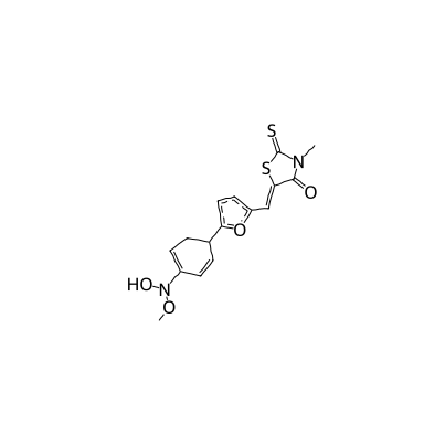 CON(O)C1=CCC(c2ccc(/C=C3\SC(=S)N(C)C3=O)o2)C=C1